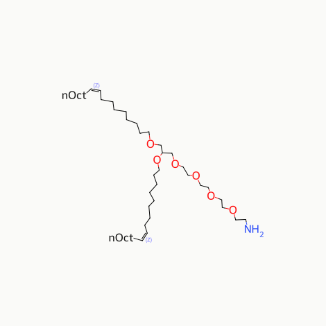 CCCCCCCC/C=C\CCCCCCCCOCC(COCCOCCOCCOCCN)OCCCCCCCC/C=C\CCCCCCCC